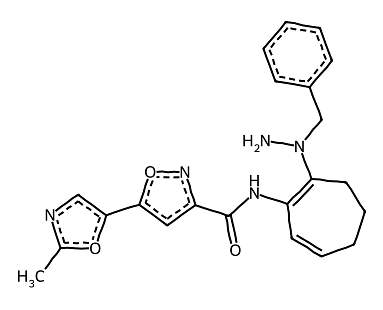 Cc1ncc(-c2cc(C(=O)NC3=C(N(N)Cc4ccccc4)CCCC=C3)no2)o1